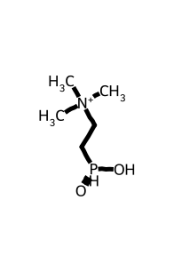 C[N+](C)(C)CC[PH](=O)O